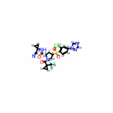 N#CC1(NC(=O)[C@@H]2CC(S(=O)(=O)c3ccc(-n4cncn4)cc3Cl)CN2C(=O)C2(C(F)(F)F)CC2)CC1